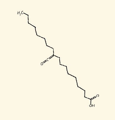 CCCCCCCCC(=C=O)CCCCCCCCC(=O)O